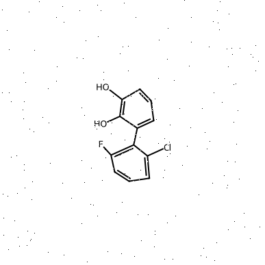 Oc1cccc(-c2c(F)cccc2Cl)c1O